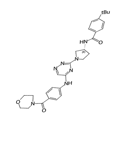 CC(C)(C)c1ccc(C(=O)N[C@@H]2CCN(c3nncc(Nc4ccc(C(=O)N5CCOCC5)cc4)n3)C2)cc1